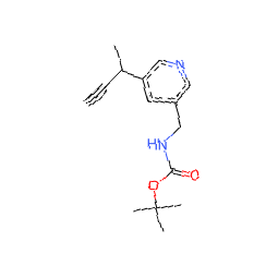 C#CC(C)c1cncc(CNC(=O)OC(C)(C)C)c1